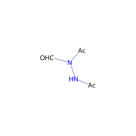 CC(=O)NN(C=O)C(C)=O